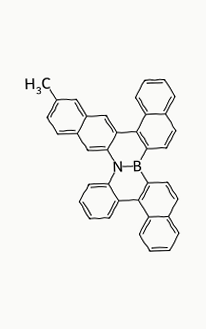 Cc1ccc2cc3c(cc2c1)-c1c(ccc2ccccc12)B1c2ccc4ccccc4c2-c2ccccc2N13